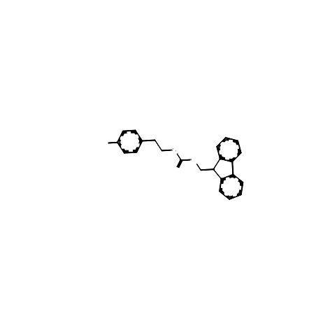 O=C(NCCc1ccc(C(=O)O)cc1)OCC1c2ccccc2-c2ccccc21